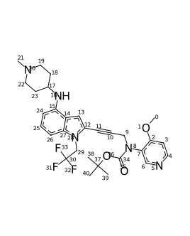 COc1ccncc1N(CC#Cc1cc2c(NC3CCN(C)CC3)cccc2n1CC(F)(F)F)C(=O)OC(C)(C)C